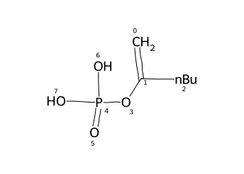 C=C(CCCC)OP(=O)(O)O